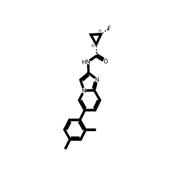 Cc1ccc(-c2ccc3nc(NC(=O)[C@@H]4C[C@@H]4F)cn3c2)c(C)c1